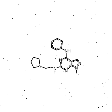 Cn1ncc2c(Nc3ccccc3)nc(NCCN3CCCC3)nc21